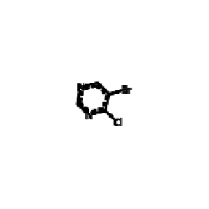 Clc1ncncc1Br